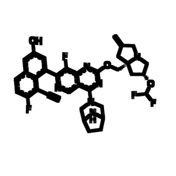 C#Cc1c(F)ccc2cc(O)cc(-c3ncc4c(N5CC6CCC(C5)N6)nc(OC[C@]56CC(=C)CN5C[C@H](OC(F)F)C6)nc4c3F)c12